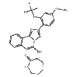 COc1ccc(-c2nc3c4ccccc4nc(N[C@@H]4CCCCNC4=O)n3n2)c(OC(F)(F)F)c1